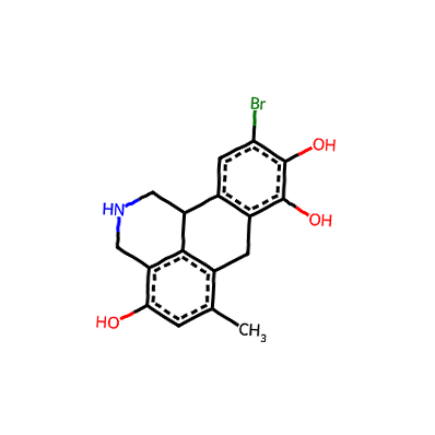 Cc1cc(O)c2c3c1Cc1c(cc(Br)c(O)c1O)C3CNC2